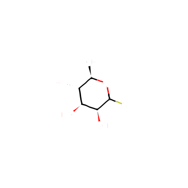 C[C@H]1OC(S)[C@@H](O)[C@@H](O)[C@@H]1O